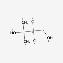 CC(C)(O)C(Cl)(Cl)CO